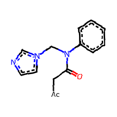 CC(=O)CC(=O)N(Cn1ccnc1)c1ccccc1